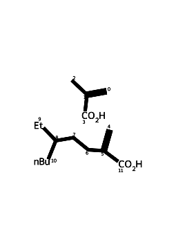 C=C(C)C(=O)O.C=C(CCC(CC)CCCC)C(=O)O